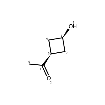 CC(=O)[C@H]1C[C@@H](O)C1